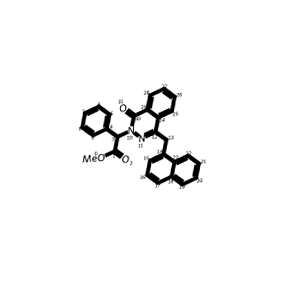 COC(=O)C(c1ccccc1)n1nc(Cc2cccc3ccccc23)c2ccccc2c1=O